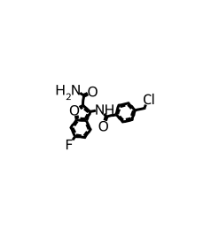 NC(=O)c1oc2cc(F)ccc2c1NC(=O)c1ccc(CCl)cc1